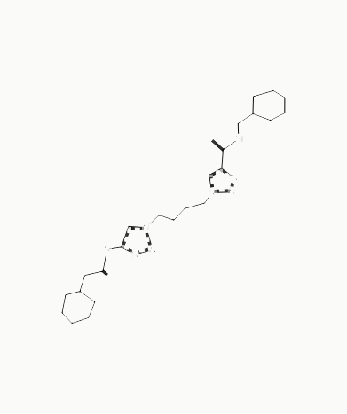 O=C(CC1CCCCC1)Nc1cn(CCCCn2cc(C(=O)NCC3CCCCC3)nn2)nn1